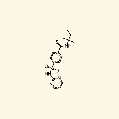 CCC(C)(C)NC(=S)c1ccc(S(=O)(=O)Nc2ncccn2)cc1